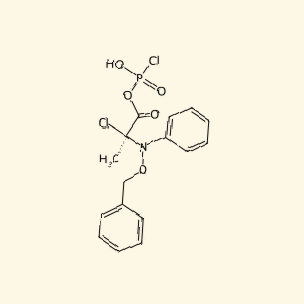 C[C@](Cl)(C(=O)OP(=O)(O)Cl)N(OCc1ccccc1)c1ccccc1